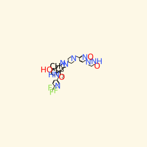 CC(C)(O)c1cc2nn(C3CCN(Cc4ccc(N5CCC(=O)NC5=O)nc4)CC3)cc2cc1NC(=O)c1ccc(C(F)(F)F)nc1